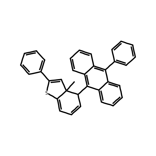 CC12C=C(c3ccccc3)SC1=CC=CC2c1c2ccccc2c(-c2ccccc2)c2ccccc12